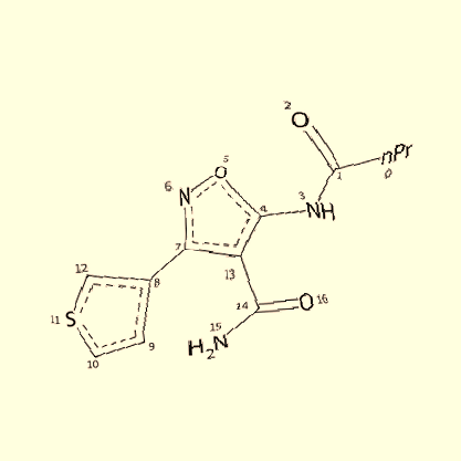 CCCC(=O)Nc1onc(-c2ccsc2)c1C(N)=O